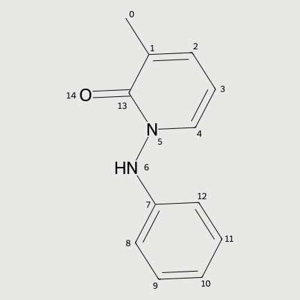 Cc1cccn(Nc2ccccc2)c1=O